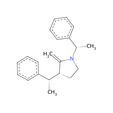 C=C1[C@@H]([C@H](C)c2ccccc2)CCN1[C@@H](C)c1ccccc1